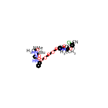 CN[C@@H](C)C(=O)N[C@H](C(=O)N1CCC[C@H]1C(=O)N[C@H]1c2ccccc2C[C@H]1OCCOCCOCCOCCOc1ccc(C(=O)N[C@H]2C(C)(C)[C@H](Oc3ccc(C#N)c(Cl)c3)C2(C)C)cc1)C(C)(C)C